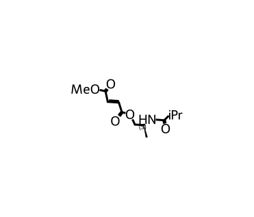 COC(=O)C=CC(=O)OC[C@H](C)NC(=O)C(C)C